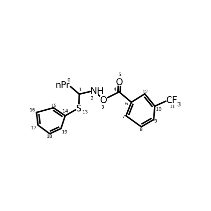 CCCC(NOC(=O)c1cccc(C(F)(F)F)c1)Sc1ccccc1